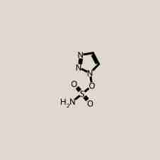 NS(=O)(=O)On1ccnn1